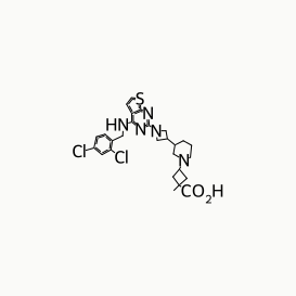 CC1(C(=O)O)CC(N2CCCC(C3CN(c4nc(NCc5ccc(Cl)cc5Cl)c5ccsc5n4)C3)C2)C1